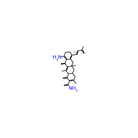 C=C(C)/C=C/C1=C2CC3(C)CC4CC(C)=C(C(=C)N)C(=C)C4C(C)=C3C(=C)C2=C(N)CC1